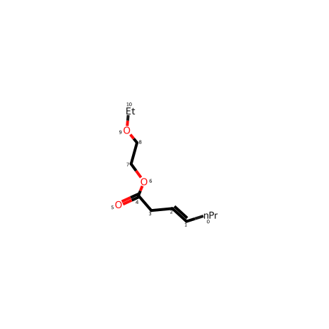 CCCC=CCC(=O)OCCOCC